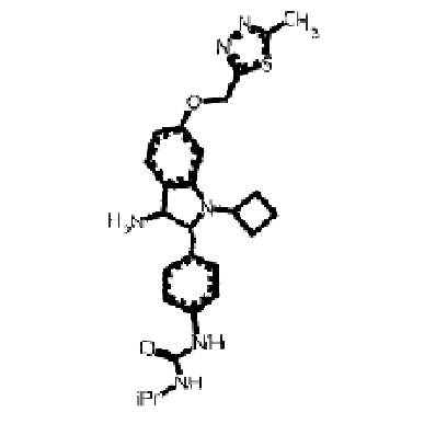 Cc1nnc(COc2ccc3c(c2)N(C2CCC2)C(c2ccc(NC(=O)NC(C)C)cc2)C3N)s1